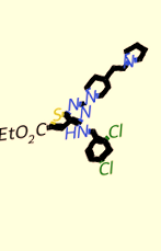 CCOC(=O)c1cc2c(NCc3ccc(Cl)cc3Cl)nc(N3CCC(CCN4CCCC4)CC3)nc2s1